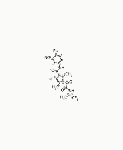 Cc1c(C(=O)Nc2ccc(F)c(C#N)c2)c(F)n(C)c1C(=O)C(=O)N[C@@H](C)C(F)(F)F